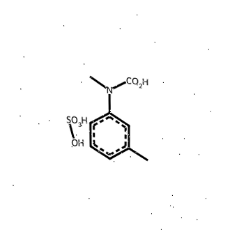 Cc1cccc(N(C)C(=O)O)c1.O=S(=O)(O)O